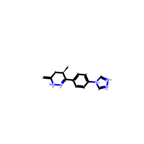 C=C1C[C@@H](C)C(c2ccc(-n3cnnc3)cc2)=NN1